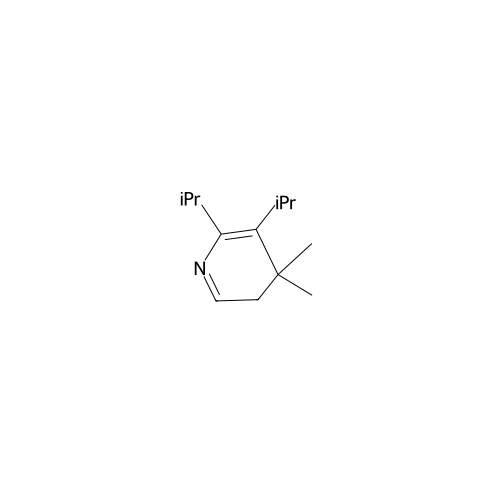 CC(C)C1=C(C(C)C)C(C)(C)CC=N1